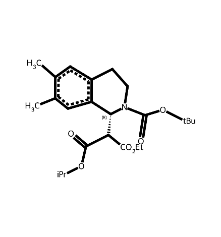 CCOC(=O)C(C(=O)OC(C)C)[C@@H]1c2cc(C)c(C)cc2CCN1C(=O)OC(C)(C)C